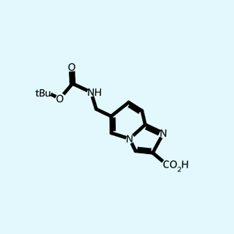 CC(C)(C)OC(=O)NCc1ccc2nc(C(=O)O)cn2c1